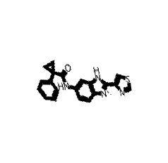 O=C(Nc1ccc2c(c1)NC(c1cscn1)=[N+]2)C1(c2ccccc2)CC1